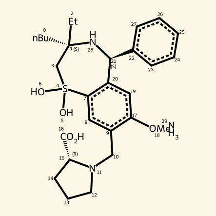 CCCC[C@@]1(CC)CS(O)(O)c2cc(CN3CCC[C@@H]3C(=O)O)c(OC)cc2[C@H](c2ccccc2)N1.N